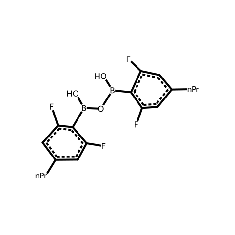 CCCc1cc(F)c(B(O)OB(O)c2c(F)cc(CCC)cc2F)c(F)c1